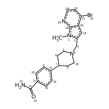 Cn1c(CN2CCC(c3ccc(C(N)=O)cc3)CC2)cc2c(Br)ccnc21